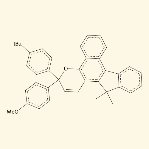 COc1ccc(C2(c3ccc(C(C)(C)C)cc3)C=Cc3c4c(c5ccccc5c3O2)-c2ccccc2C4(C)C)cc1